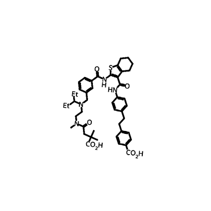 CCC(CC)N(CCN(C)C(=O)CC(C)(C)C(=O)O)Cc1cccc(C(=O)Nc2sc3c(c2C(=O)Nc2ccc(CCc4ccc(C(=O)O)cc4)cc2)CCCC3)c1